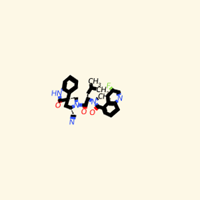 CC(C)C[C@@H](C(=O)N1C[C@]2(C[C@H]1C#N)C(=O)Nc1ccccc12)N(C)C(=O)c1cccc2c1CC(F)C=N2